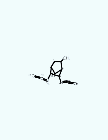 CC1CC2CC1C(N=C=O)C2N=C=O